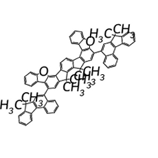 CC1(C)c2ccccc2-c2c1cc(-c1cc3c(c4c1oc1ccccc14)-c1ccc4c(c1C3(C)C)C(C)(C)c1cc(-c3cc5c(c6ccccc36)-c3ccccc3C5(C)C)c3c(oc5ccccc53)c1-4)c1ccccc21